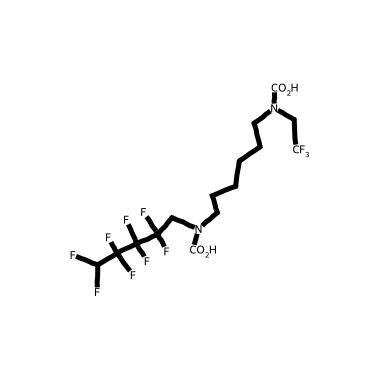 O=C(O)N(CCCCCCN(CC(F)(F)C(F)(F)C(F)(F)C(F)F)C(=O)O)CC(F)(F)F